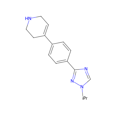 CC(C)n1cnc(-c2ccc(C3=CCNCC3)cc2)n1